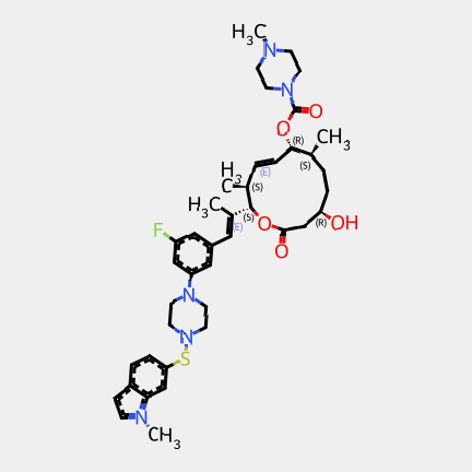 C/C(=C\c1cc(F)cc(N2CCN(Sc3ccc4ccn(C)c4c3)CC2)c1)[C@H]1OC(=O)C[C@H](O)CC[C@H](C)[C@@H](OC(=O)N2CCN(C)CC2)/C=C/[C@@H]1C